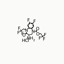 Cl.NC1CN(C(=O)OCC(F)(F)F)c2cc(F)c(F)cc2N(CC(F)(F)F)C1=O